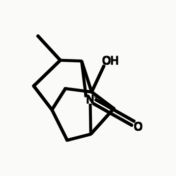 CC1CC2CC3CC(O)(C2)C1C[N+]3=O